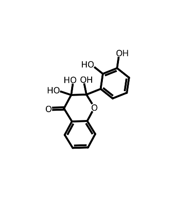 O=C1c2ccccc2OC(O)(c2cccc(O)c2O)C1(O)O